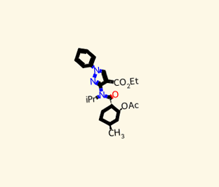 CCOC(=O)c1cn(-c2ccccc2)nc1N(C(=O)[C@H]1CC[C@H](C)C[C@H]1OC(C)=O)C(C)C